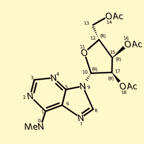 CNc1ncnc2c1ncn2[C@@H]1O[C@H](COC(C)=O)[C@@H](OC(C)=O)[C@H]1OC(C)=O